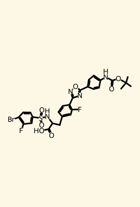 CC(C)(C)OC(=O)Nc1ccc(-c2nc(-c3ccc(CC(NS(=O)(=O)c4ccc(Br)c(F)c4)C(=O)O)cc3F)no2)cc1